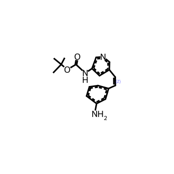 CC(C)(C)OC(=O)Nc1cncc(/C=C\c2cccc(N)c2)c1